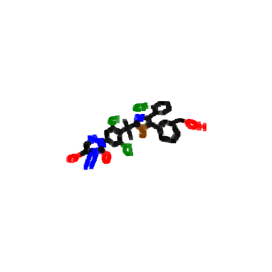 CC(C)(c1nc(-c2ccccc2Cl)c(-c2cccc(CO)c2)s1)c1c(Cl)cc(-n2ncc(=O)[nH]c2=O)cc1Cl